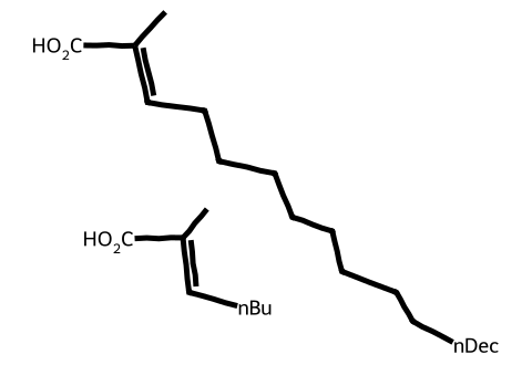 CCCCC=C(C)C(=O)O.CCCCCCCCCCCCCCCCCCC=C(C)C(=O)O